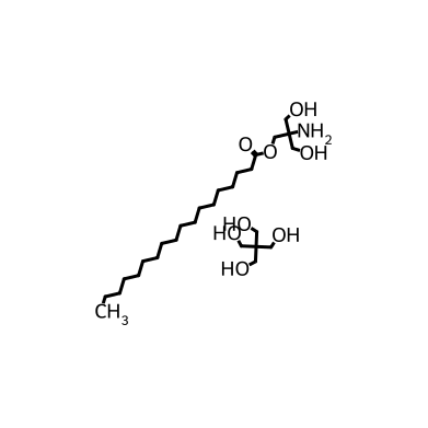 CCCCCCCCCCCCCCCCCC(=O)OCC(N)(CO)CO.OCC(CO)(CO)CO